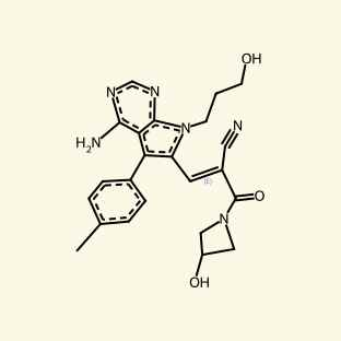 Cc1ccc(-c2c(/C=C(\C#N)C(=O)N3CC(O)C3)n(CCCO)c3ncnc(N)c23)cc1